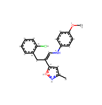 CCOc1ccc(NC=C(Cc2ccccc2Cl)c2cc(C)no2)cc1